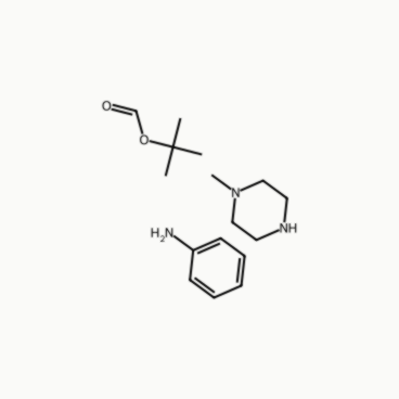 CC(C)(C)OC=O.CN1CCNCC1.Nc1ccccc1